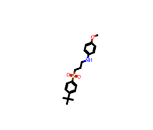 COc1ccc(NCCCS(=O)(=O)c2ccc(C(C)(C)C)cc2)cc1